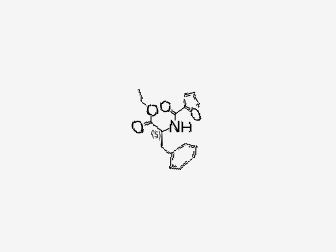 CCOC(=O)[C@H](Cc1ccccc1)NC(=O)c1ccco1